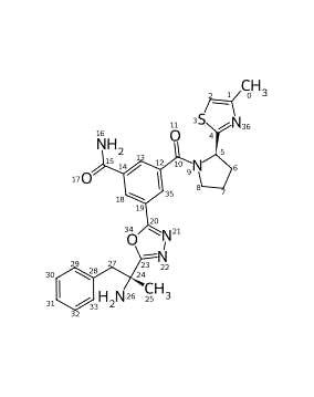 Cc1csc([C@H]2CCCN2C(=O)c2cc(C(N)=O)cc(-c3nnc([C@](C)(N)Cc4ccccc4)o3)c2)n1